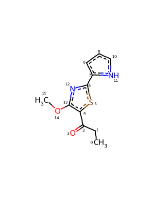 CCC(=O)c1sc(-c2ccc[nH]2)nc1OC